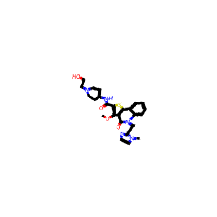 COc1c(C(=O)NC2CCN(CCO)CC2)sc2c1c(=O)n(Cc1nccn1C)c1ccccc21